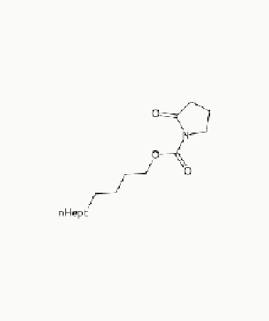 CCCCCCCCCCCOC(=O)N1CCCC1=O